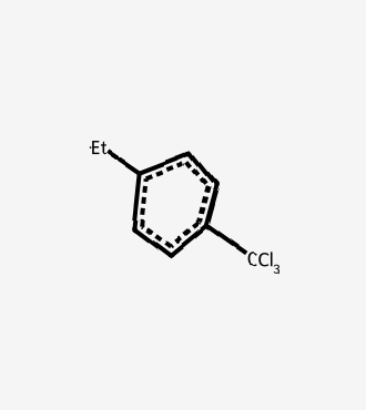 C[CH]c1ccc(C(Cl)(Cl)Cl)cc1